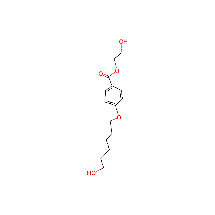 O=C(OCCO)c1ccc(OCCCCCCO)cc1